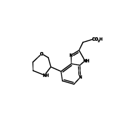 O=C(O)Cc1nc2c(C3COCCN3)ccnc2[nH]1